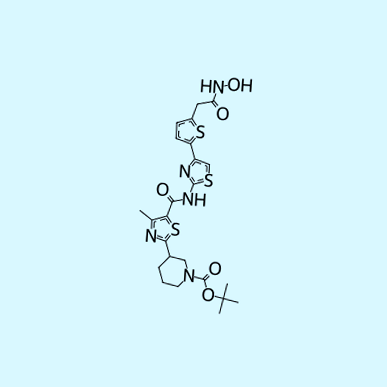 Cc1nc(C2CCCN(C(=O)OC(C)(C)C)C2)sc1C(=O)Nc1nc(-c2ccc(CC(=O)NO)s2)cs1